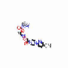 C[C@@H](/C=N/OCC(=O)N1CCN(c2ccc(C#N)cn2)CC1)OC(=O)NC(C)(C)C